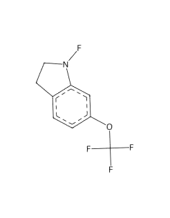 FN1CCc2ccc(OC(F)(F)F)cc21